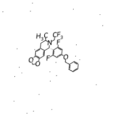 C[C@@H]1Cc2cc3c(cc2[C@@H](c2c(F)cc(OCc4ccccc4)cc2F)N1CC(F)(F)F)OCO3